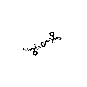 CCCC(C(=O)OCCN1CCN(CCOC(=O)C(CCC)c2ccccc2)CC1)c1ccccc1